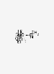 Cc1cncc(C#Cc2cc(F)c(NS(=O)(=O)c3cccc(Cl)c3C)c(F)c2)c1